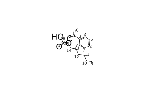 CC(=O)c1ccccc1.CCCCCCOC(=O)O